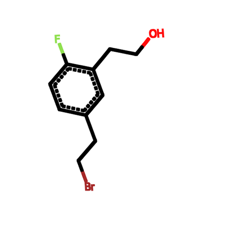 OCCc1cc(CCBr)ccc1F